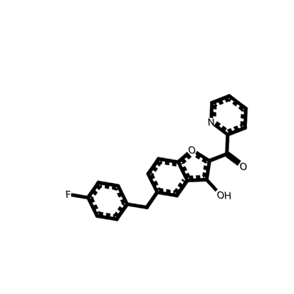 O=C(c1ccccn1)c1oc2ccc(Cc3ccc(F)cc3)cc2c1O